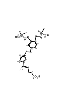 CCC(=CCCC(=O)O)c1cc(CCc2ccc(CO[Si](C)(C)C(C)(C)C)c(CO[Si](C)(C)C(C)(C)C)c2)cs1